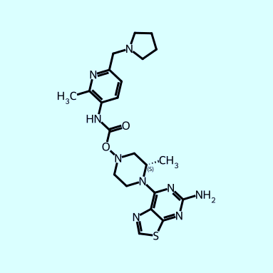 Cc1nc(CN2CCCC2)ccc1NC(=O)ON1CCN(c2nc(N)nc3scnc23)[C@@H](C)C1